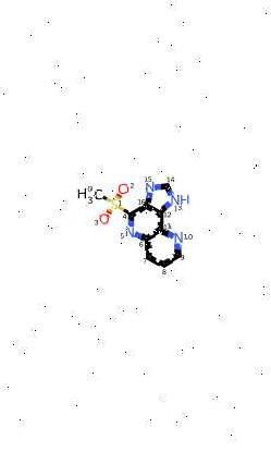 CS(=O)(=O)c1nc2cccnc2c2[nH]cnc12